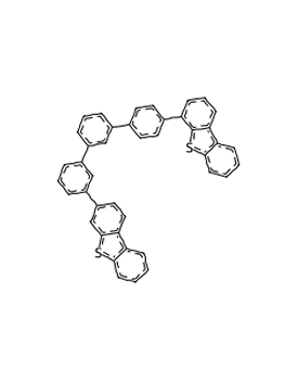 c1cc(-c2ccc(-c3cccc4c3sc3ccccc34)cc2)cc(-c2cccc(-c3ccc4c(c3)sc3ccccc34)c2)c1